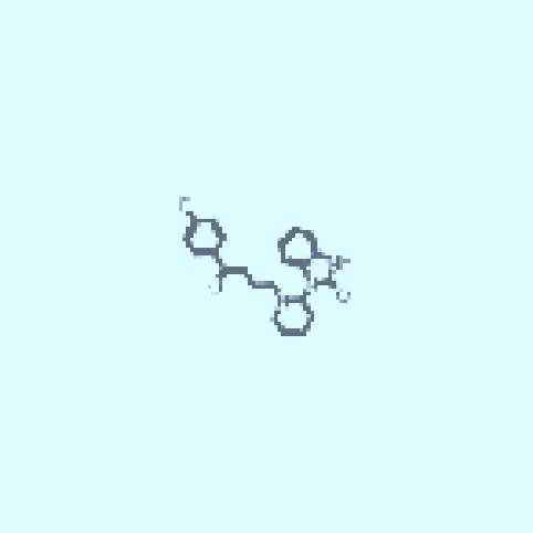 O=C(CCCN1CC=CCC1n1c(=O)[nH]c2ccccc21)c1ccc(F)cc1